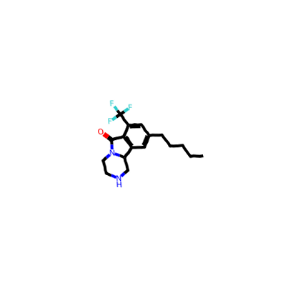 CCCCCc1cc2c(c(C(F)(F)F)c1)C(=O)N1CCNCC21